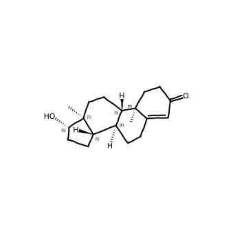 C[C@]12CC[C@H]3[C@@H](CCC4=CC(=O)[CH]C[C@@]43C)[C@@H]1CC[C@@H]2O